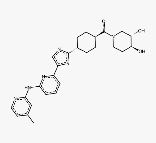 Cc1ccnc(Nc2cccc(-c3cnc([C@H]4CC[C@H](C(=O)N5CC[C@H](O)[C@@H](O)C5)CC4)s3)n2)c1